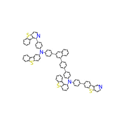 c1ccc2c(-c3ccc(-c4ccc(N(c5ccc(-c6ccc7c(c6)sc6ccncc67)cc5)c5cccc6sc7ccccc7c56)cc4)cc3)cc(-c3ccc(N(c4ccc(-c5nccc6sc7ccccc7c56)cc4)c4ccc5sc6ccccc6c5c4)cc3)cc2c1